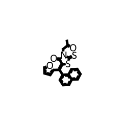 CC(=O)CN1C(=O)C(=C(c2ccco2)c2cccc3ccccc23)SC1=S